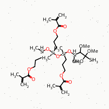 C=C(C)C(=O)OCCC[SiH](C)O[Si](C)(CCCOC(=O)C(=C)C)O[Si](C)(CCCOC(=O)C(=C)C)O[SiH](C)C(OC)C([SiH3])(OC)OC